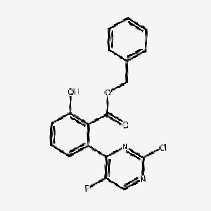 O=C(OCc1ccccc1)c1c(O)cccc1-c1nc(Cl)ncc1F